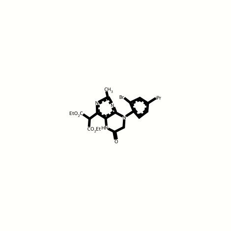 CCOC(=O)C(C(=O)OCC)c1nc(C)nc2c1NC(=O)CN2c1ccc(C(C)C)cc1Br